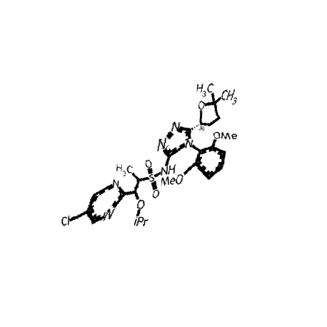 COc1cccc(OC)c1-n1c(NS(=O)(=O)C(C)C(OC(C)C)c2ncc(Cl)cn2)nnc1[C@H]1CCC(C)(C)O1